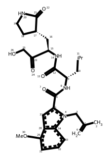 C=C(C)Cn1c(C(=O)N[C@@H](CC(C)C)C(=O)N[C@H](C[C@@H]2CCNC2=O)C(=O)CO)cc2c(OC)cccc21